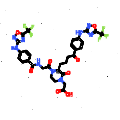 O=C(O)CN1CCN(C(=O)CNC(=O)c2ccc(Nc3noc(C(F)(F)F)n3)cc2)[C@@H](CCCC(=O)c2ccc(Nc3noc(C(F)(F)F)n3)cc2)C1=O